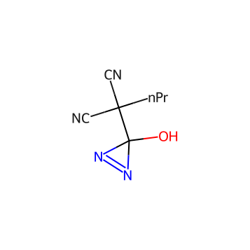 CCCC(C#N)(C#N)C1(O)N=N1